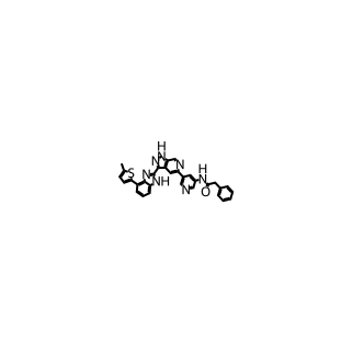 Cc1ccc(-c2cccc3[nH]c(-c4n[nH]c5cnc(-c6cncc(NC(=O)Cc7ccccc7)c6)cc45)nc23)s1